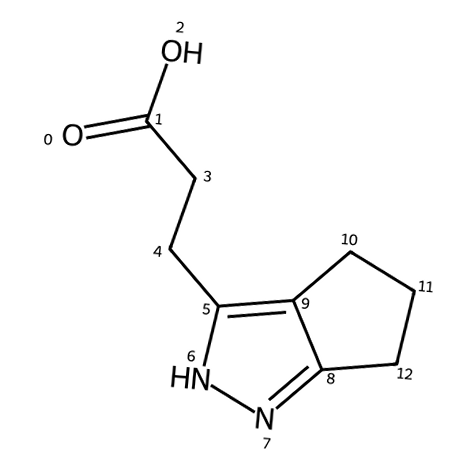 O=C(O)CCc1[nH]nc2c1CCC2